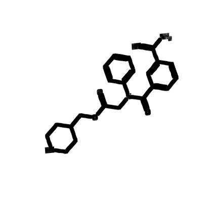 N=C(N)c1cccc(C(=O)N(CC(=O)OCC2CCNCC2)c2ccccc2)c1